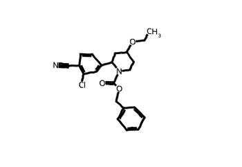 CCOC1CCN(C(=O)OCc2ccccc2)C(c2ccc(C#N)c(Cl)c2)C1